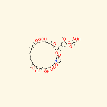 CO[C@H]1CC(O)CC(O)[C@@H](C)C(=O)C(=O)C(=O)N2CCCC[C@H]2C(=O)O[C@H]([C@H](C)C[C@@H]2CC[C@@H](OC(=O)C(C)(CO)CO)[C@H](OC)C2)CC(=O)[C@H](C)/C=C(\C)[C@@H](O)[C@@H](OC)C(=O)[C@H](C)C[C@H](C)/C=C/C=C/C=C/1C